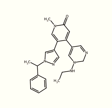 CCNN1C=C(c2cc(=O)n(C)cc2-c2cnn(C(C)c3ccccc3)c2)C=NC1